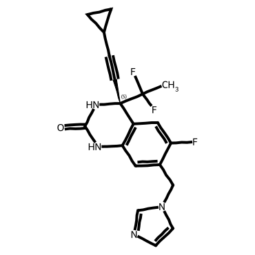 CC(F)(F)[C@@]1(C#CC2CC2)NC(=O)Nc2cc(Cn3ccnc3)c(F)cc21